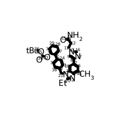 CCc1nc2c(C)cc(-c3cn(CCC(N)=O)cn3)cc2n1Cc1ccc(-c2ccccc2OC(=O)OC(C)(C)C)cc1